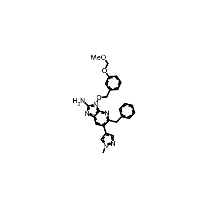 COCOc1cccc(COn2c(N)nc3cc(-c4cnn(C)c4)c(Cc4ccccc4)nc32)c1